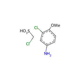 COc1ccc(N)cc1Cl.O=S(=O)(O)CCl